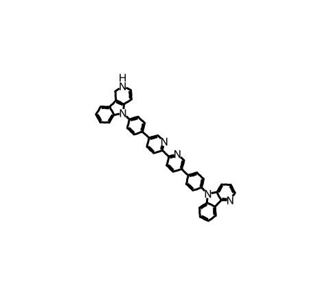 C1=Cc2c(c3ccccc3n2-c2ccc(-c3ccc(-c4ccc(-c5ccc(-n6c7ccccc7c7ncccc76)cc5)cn4)nc3)cc2)CN1